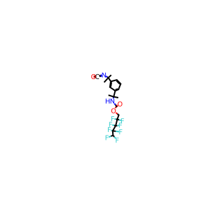 CC(C)(N=C=O)c1cccc(C(C)(C)NC(=O)OCC(F)(F)C(F)(F)C(F)(F)C(F)F)c1